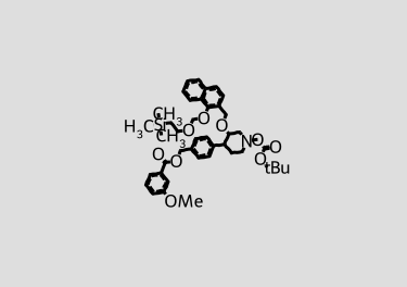 COc1cccc(C(=O)OCc2ccc(C3CCN(OC(=O)OC(C)(C)C)CC3OCc3ccc4ccccc4c3OCOCC[Si](C)(C)C)cc2)c1